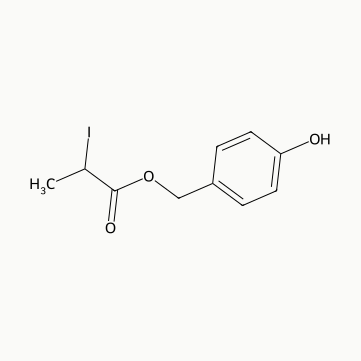 CC(I)C(=O)OCc1ccc(O)cc1